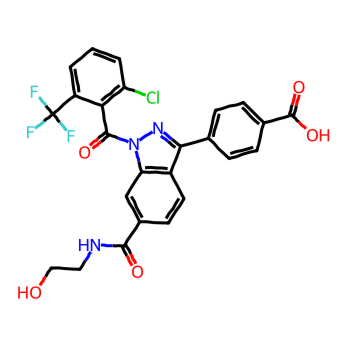 O=C(O)c1ccc(-c2nn(C(=O)c3c(Cl)cccc3C(F)(F)F)c3cc(C(=O)NCCO)ccc23)cc1